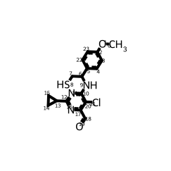 COc1ccc(C(CS)Nc2nc(C3CC3)nc(C=O)c2Cl)cc1